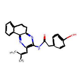 CC(C)=Cc1nc2c(nc1NC(=O)Cc1ccc(O)cc1)CCc1ccccc1-2